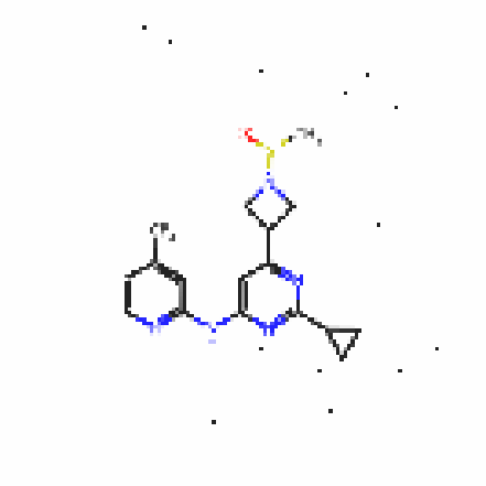 C[S+]([O-])N1CC(c2cc(Nc3cc(C(F)(F)F)ccn3)nc(C3CC3)n2)C1